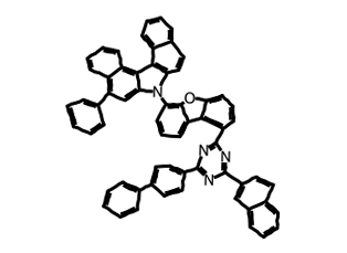 c1ccc(-c2ccc(-c3nc(-c4ccc5ccccc5c4)nc(-c4cccc5oc6c(-n7c8ccc9ccccc9c8c8c9ccccc9c(-c9ccccc9)cc87)cccc6c45)n3)cc2)cc1